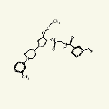 CCCO[C@@H]1CN(C2CCN(c3cccc(C)c3)CC2)C[C@H]1NC(=O)CNC(=O)c1cccc(CF)c1